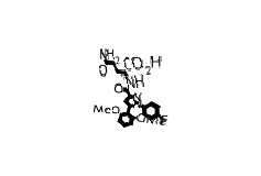 COc1cccc(OC)c1-c1cc(C(=O)N[C@@H](CCC(N)=O)C(=O)O)nn1-c1ccc(F)cc1